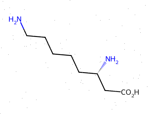 NCCCCC[C@H](N)CC(=O)O